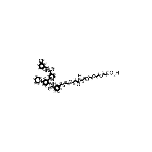 O=C(O)CCOCCOCCOCCNC(=O)CCOCCSCc1cccc(C(=O)Nc2ccc(N3CCCCC3)cc2-c2cc(C(=O)NCc3cccc(C(F)(F)F)c3)ccn2)c1